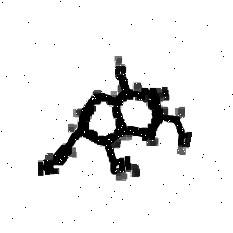 C#Cc1ccc2c(=O)[nH]c(CCl)nc2c1C